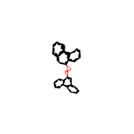 c1ccc2c(c1)cc(OOc1cc3ccccc3c3ccccc13)c1ccccc12